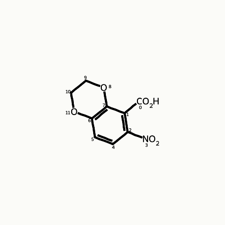 O=C(O)c1c([N+](=O)[O-])ccc2c1OCCO2